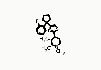 C[C@@H]1[C@@H](C)C(c2nc(C3(c4ccccc4F)CCCC3)cs2)CCN1C